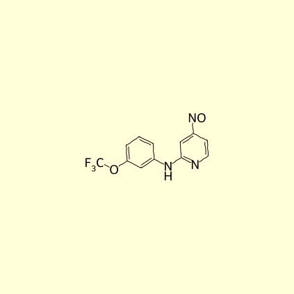 O=Nc1ccnc(Nc2cccc(OC(F)(F)F)c2)c1